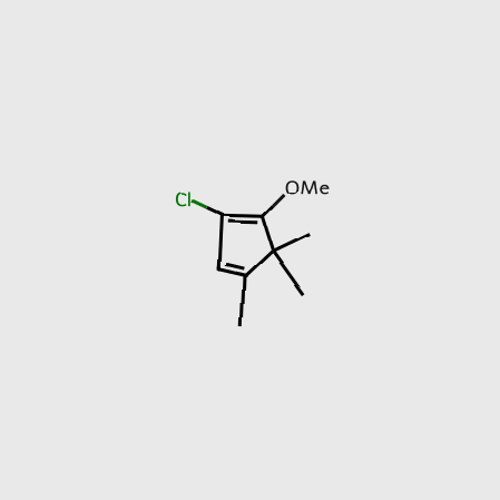 COC1=C(Cl)C=C(C)C1(C)C